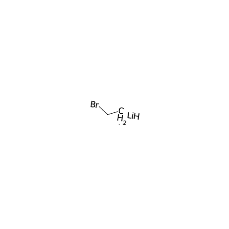 [CH2]CBr.[LiH]